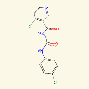 O=C(NC(=O)c1cnccc1Cl)Nc1ccc(Cl)cc1